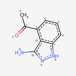 CC(=O)c1cccc2[nH]nc(N)c12